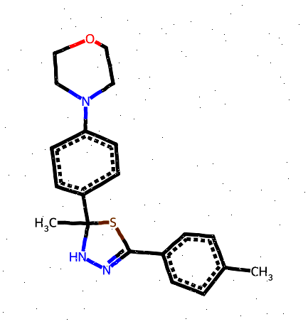 Cc1ccc(C2=NNC(C)(c3ccc(N4CCOCC4)cc3)S2)cc1